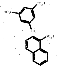 Cc1cc(C(=O)O)cc(C(=O)O)c1.O=S(=O)(O)c1cccc2ccccc12